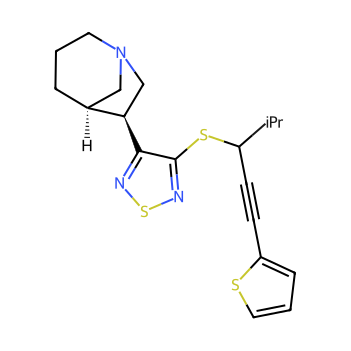 CC(C)C(C#Cc1cccs1)Sc1nsnc1[C@@H]1CN2CCC[C@H]1C2